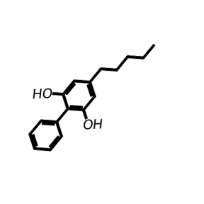 CCCCCc1cc(O)c(-c2ccccc2)c(O)c1